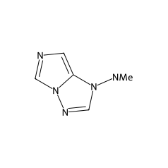 CNn1cnn2cncc12